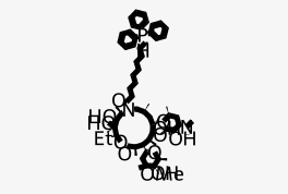 CC[C@H]1OC(=O)[C@H](C)[C@@H](C2C[C@@](C)(OC)[C@@H](O)[C@H](C)O2)[C@H](C)[C@@H](O[C@@H]2O[C@H](C)C[C@H](N(C)C)[C@H]2O)[C@](C)(O)C[C@@H](C)CN(C(=O)CCCCCCCCC[PH](c2ccccc2)(c2ccccc2)c2ccccc2)[C@H](C)[C@@H](O)[C@]1(C)O